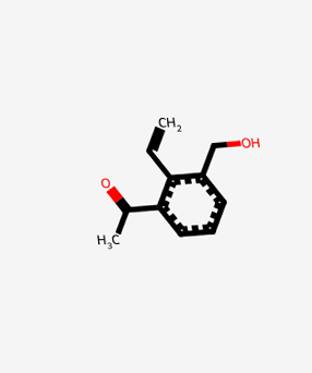 C=Cc1c(CO)cccc1C(C)=O